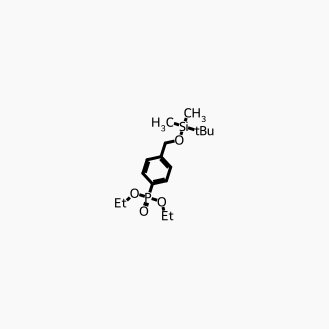 CCOP(=O)(OCC)c1ccc(CO[Si](C)(C)C(C)(C)C)cc1